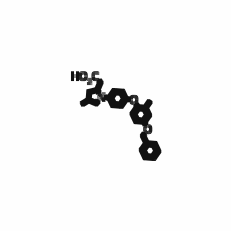 Cc1cc(OCc2ccccc2)ccc1Oc1ccc(N2CC(C)CC2CC(=O)O)cc1